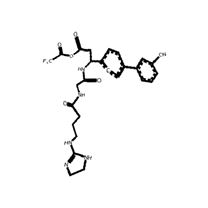 N#Cc1cccc(-c2ccc(C(CC(=O)OC(=O)C(F)(F)F)NC(=O)CNC(=O)CCCNC3=NCCN3)cc2)c1